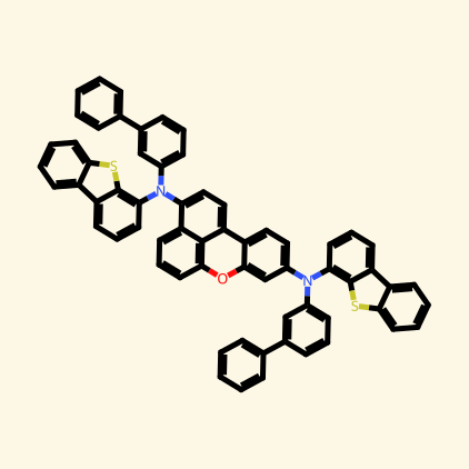 c1ccc(-c2cccc(N(c3ccc4c(c3)Oc3cccc5c(N(c6cccc(-c7ccccc7)c6)c6cccc7c6sc6ccccc67)ccc-4c35)c3cccc4c3sc3ccccc34)c2)cc1